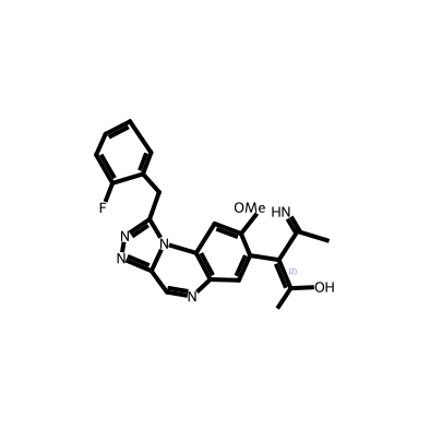 COc1cc2c(cc1/C(C(C)=N)=C(\C)O)ncc1nnc(Cc3ccccc3F)n12